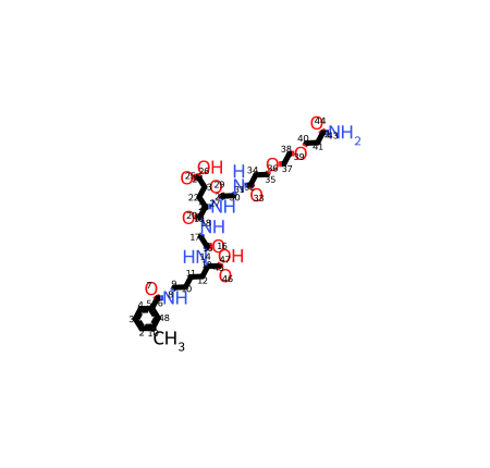 Cc1cccc(C(=O)NCCCCC(NC(=O)CNC(=O)C(CCC(=O)O)NC(=O)CNC(=O)CCOCCOCCC(N)=O)C(=O)O)c1